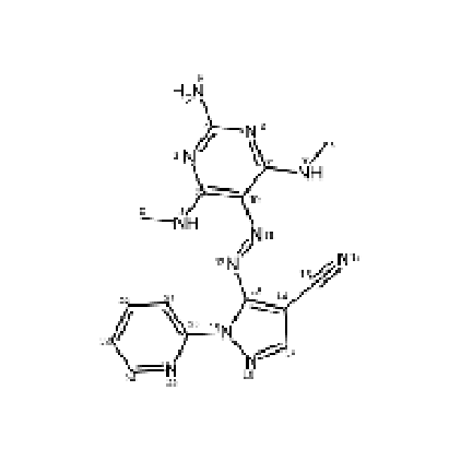 CNc1nc(N)nc(NC)c1/N=N/c1c(C#N)cnn1-c1ccccn1